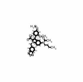 CCCCN(C(C)=O)c1ccc2c(c1)c(-c1ccc(OC)cc1OC)c(C(=O)O)n2Cc1ccc2nsnc2c1